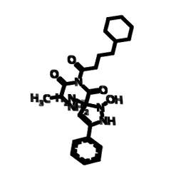 CC(N)C(=O)N(C(=O)CCCC1CCCCC1)C(=O)[C@@]1(N)C=C(c2ccccc2)NN1O